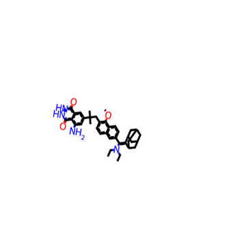 CCN(CC)C(=C1C2CC3CC(C2)CC1C3)c1ccc2c(OC)c(CC(C)(C)c3cc(N)c4c(=O)[nH][nH]c(=O)c4c3)ccc2c1